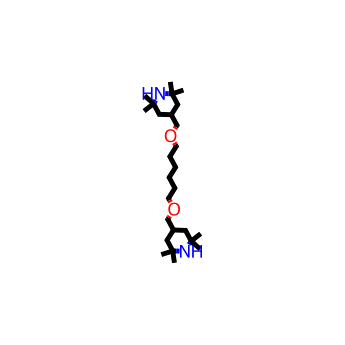 CC1(C)CC(COCCCCCCOCC2CC(C)(C)NC(C)(C)C2)CC(C)(C)N1